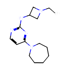 CC(C)CN1CC(Nc2nccc(N3CCCCCC3)n2)C1